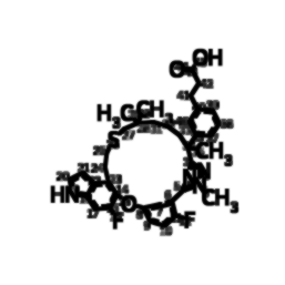 Cn1nc2nc1-c1cc(ccc1F)Oc1c(F)cc3[nH]ccc3c1CCSCC(C)(C)CCCC2(C)c1cccc(CCC(=O)O)c1